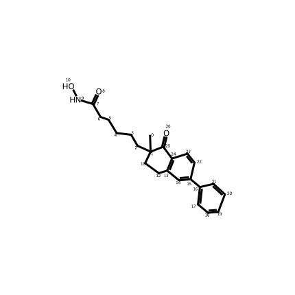 CC1(CCCCCC(=O)NO)CCc2cc(-c3ccccc3)ccc2C1=O